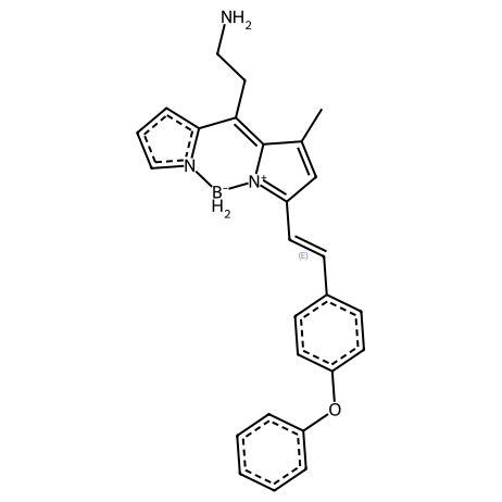 CC1=CC(/C=C/c2ccc(Oc3ccccc3)cc2)=[N+]2[BH2-]n3cccc3C(CCN)=C12